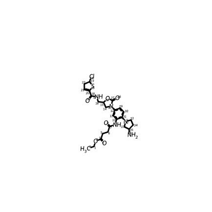 CCOC(=O)CCC(=O)Nc1cc(N2CC(CNC(=O)C3=CCC(Cl)S3)OC2=O)ccc1N1CCC(N)C1